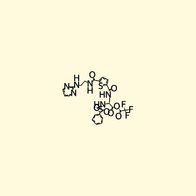 O=C(NCCNc1ncccn1)c1ccc(C(=O)NCC(NS(=O)(=O)c2ccccc2)C(=O)OC(=O)C(F)(F)F)s1